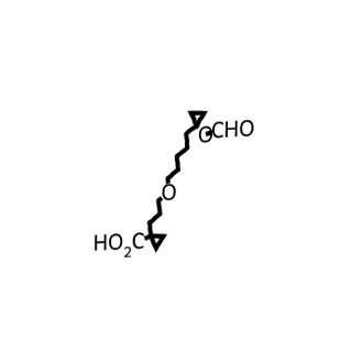 O=COC1(CCCCCOCCCC2(C(=O)O)CC2)CC1